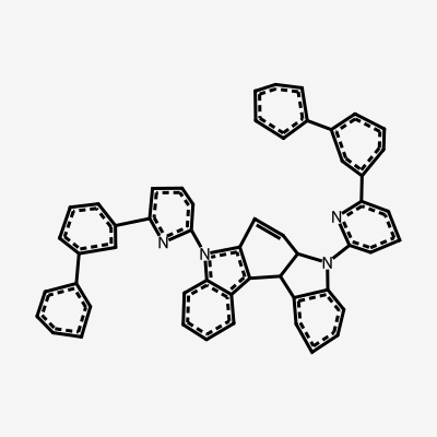 C1=CC2C(c3ccccc3N2c2cccc(-c3cccc(-c4ccccc4)c3)n2)c2c1n(-c1cccc(-c3cccc(-c4ccccc4)c3)n1)c1ccccc21